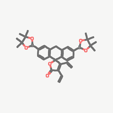 C=CC1=C(C=C)C2(OC1=O)c1ccc(B3OC(C)(C)C(C)(C)O3)cc1Cc1cc(B3OC(C)(C)C(C)(C)O3)ccc12